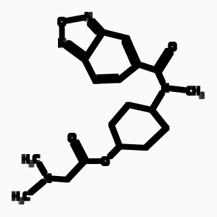 CN(C)CC(=O)OC1CCC(N(C)C(=O)c2ccc3nonc3c2)CC1